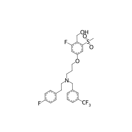 CS(=O)(=O)c1cc(OCCCN(CCc2ccc(F)cc2)Cc2cccc(C(F)(F)F)c2)cc(F)c1CO